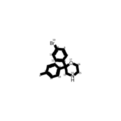 Cc1ccc(C2(c3ccc(Br)cc3)CNCCO2)cc1